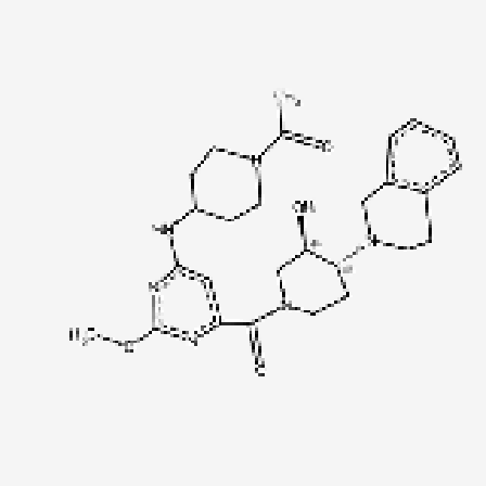 COc1nc(NC2CCN(C(C)=O)CC2)cc(C(=O)N2CC[C@@H](N3CCc4ccccc4C3)[C@H](O)C2)n1